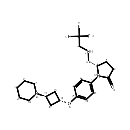 O=C1CC[C@@H](CNCC(F)(F)F)N1c1ccc(O[C@H]2C[C@H](N3CCCCC3)C2)cc1